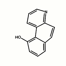 Oc1cccc2ccc3ncccc3c12